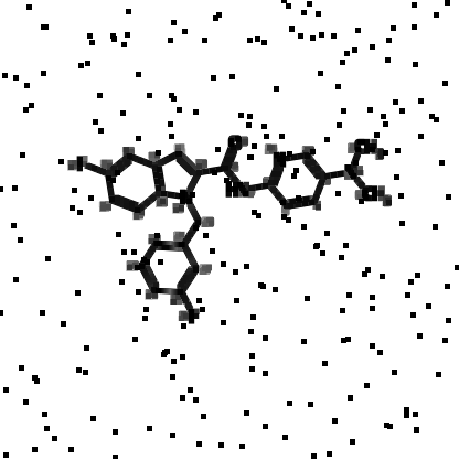 CN(C)c1ccc(NC(=O)c2cc3cc(F)ccc3n2Cc2cccc(F)c2)nc1